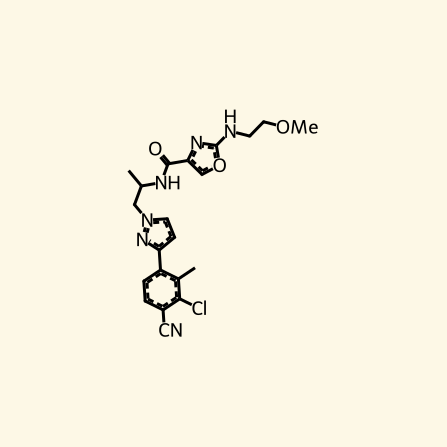 COCCNc1nc(C(=O)NC(C)Cn2ccc(-c3ccc(C#N)c(Cl)c3C)n2)co1